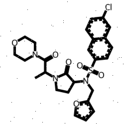 CC(C(=O)N1CCOCC1)N1CCC(N(Cc2ccco2)S(=O)(=O)c2ccc3cc(Cl)ccc3c2)C1=O